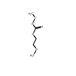 [CH2+][CH-]OC(=O)OCCOC